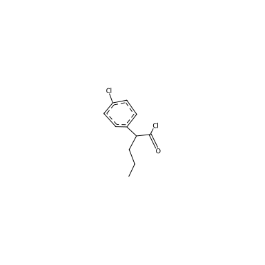 CCCC(C(=O)Cl)c1ccc(Cl)cc1